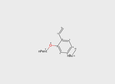 C=Cc1ccccc1OCCCCC.CCCCC